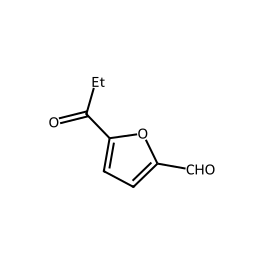 CCC(=O)c1ccc(C=O)o1